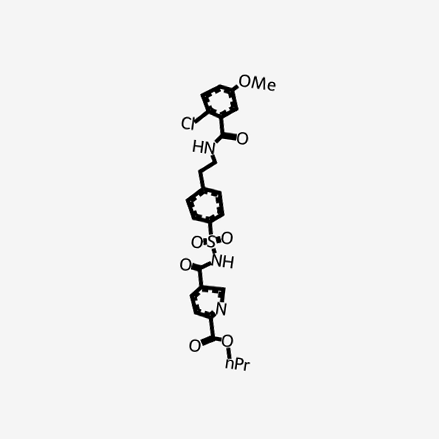 CCCOC(=O)c1ccc(C(=O)NS(=O)(=O)c2ccc(CCNC(=O)c3cc(OC)ccc3Cl)cc2)cn1